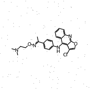 CC(=NOCCN(C)C)c1ccc(Nc2c3ccccc3nc3occ(Cl)c23)cc1